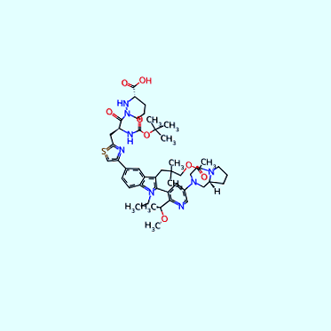 CCn1c(-c2cc(N3CCN4CCC[C@@H]4C3)cnc2[C@H](C)OC)c(CC(C)(C)COC(C)=O)c2cc(-c3csc(C[C@H](NC(=O)OC(C)(C)C)C(=O)N4CCC[C@@H](C(=O)O)N4)n3)ccc21